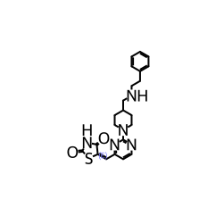 O=C1NC(=O)/C(=C\c2ccnc(N3CCC(CNCCc4ccccc4)CC3)n2)S1